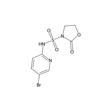 O=C1OCCN1S(=O)(=O)Nc1ccc(Br)cn1